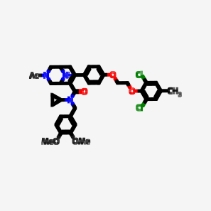 COc1ccc(CN(C(=O)C2=C(c3ccc(OCCOc4c(Cl)cc(C)cc4Cl)cc3)CC3CN(C(C)=O)CC2N3)C2CC2)cc1OC